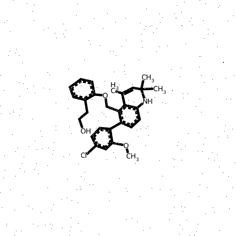 COc1cc(Cl)ccc1-c1ccc2c(c1COc1ccccc1CCO)C(C)=CC(C)(C)N2